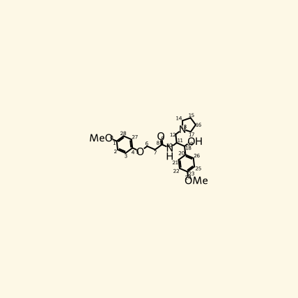 COc1ccc(OCCC(=O)NC(CN2CCCC2)C(O)c2ccc(OC)cc2)cc1